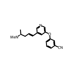 CN[C@@H](C)CC=Cc1cncc(Oc2cccc(C#N)c2)c1